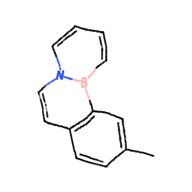 Cc1ccc2c(c1)B1C=CC=CN1C=C2